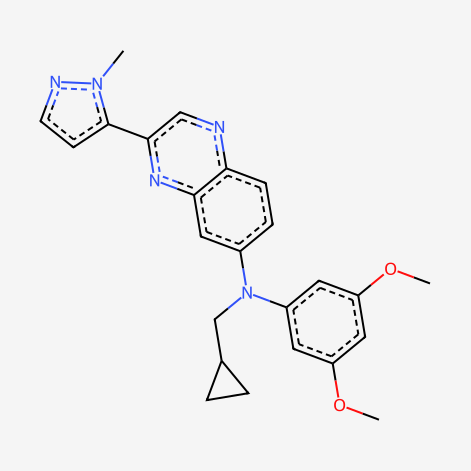 COc1cc(OC)cc(N(CC2CC2)c2ccc3ncc(-c4ccnn4C)nc3c2)c1